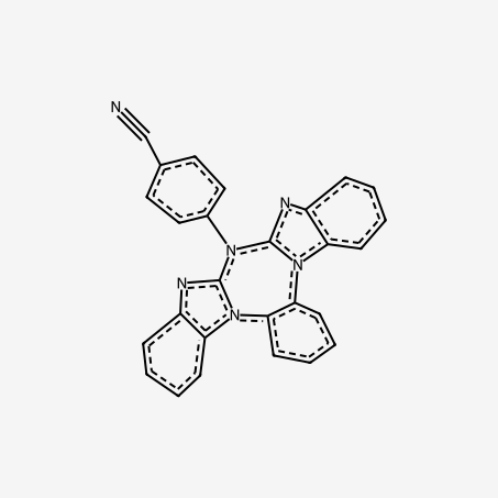 N#Cc1ccc(-n2c3nc4ccccc4n3c3ccccc3n3c4ccccc4nc23)cc1